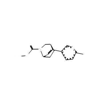 CC(C)(C)OC(=O)N1CC2CCC1C=C2c1ccc(Cl)nc1